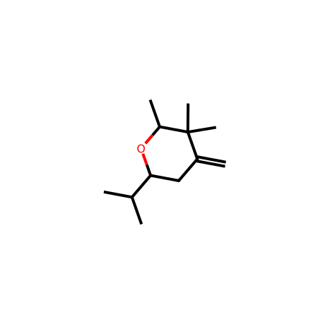 C=C1CC(C(C)C)OC(C)C1(C)C